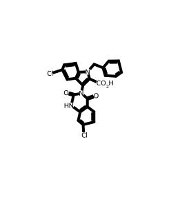 O=C(O)c1c(-n2c(=O)[nH]c3cc(Cl)ccc3c2=O)c2cc(Cl)ccc2n1Cc1ccccc1